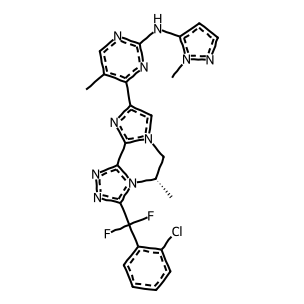 Cc1cnc(Nc2ccnn2C)nc1-c1cn2c(n1)-c1nnc(C(F)(F)c3ccccc3Cl)n1[C@@H](C)C2